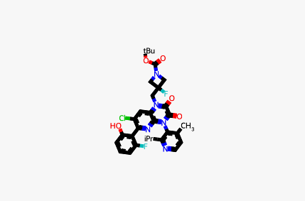 Cc1ccnc(C(C)C)c1-n1c(=O)c(=O)n(CC2(F)CN(C(=O)OC(C)(C)C)C2)c2cc(Cl)c(-c3c(O)cccc3F)nc21